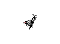 CCOC(=O)C1(C)CCC(n2ncc(C(=O)N(CC(O)c3c(Cl)ccc(F)c3Cl)CC3(C(F)(F)F)CC3)c2C(F)(F)F)CC1